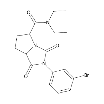 CCN(CC)C(=O)C1CCC2C(=O)N(c3cccc(Br)c3)C(=O)N12